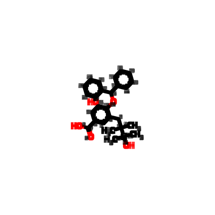 CC(C)(Cc1cc(C(=O)O)cc(O)c1OC(c1ccccc1)c1ccccc1)[Si](C)(C)O